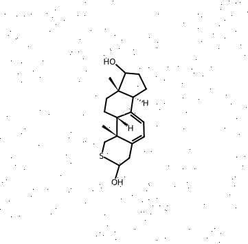 C[C@]12CSC(O)CC1=CC=C1[C@H]2CC[C@]2(C)C(O)CC[C@@H]12